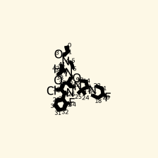 C=CC(=O)N1CCN2C(=O)c3c(N4CCC(N5CCC(F)CC5)C4(C)C)nc(-c4ccccc4F)c(Cl)c3OC[C@H]2C1